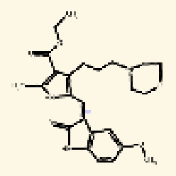 CCOC(=O)c1c(C)[nH]c(/C=C2\C(=O)Nc3ccc(OC)cc32)c1CCCN1CCOCC1